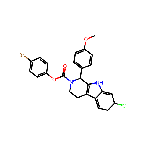 COc1ccc(C2c3[nH]c4c(c3CCN2C(=O)Oc2ccc(Br)cc2)=CCC(Cl)C=4)cc1